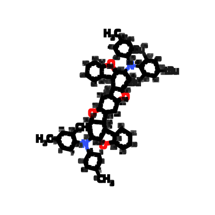 Cc1ccc(N(c2ccc(C)cc2C)c2cc3oc4cc5c(cc4c3c3c2oc2ccccc23)oc2cc(N(c3ccc(C)cc3)c3c(C(C)(C)C)cc(C(C)(C)C)cc3C(C)(C)C)c3oc4ccccc4c3c25)cc1